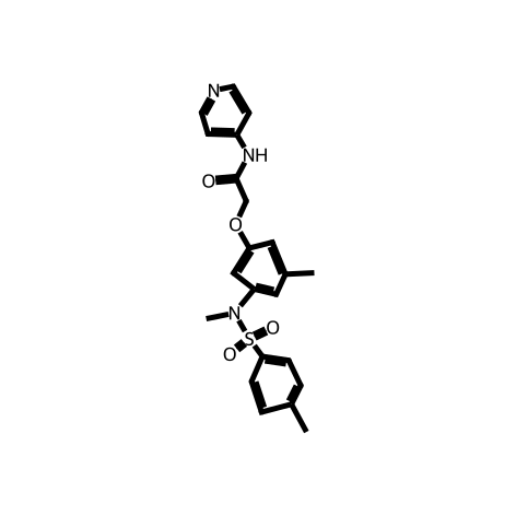 Cc1ccc(S(=O)(=O)N(C)c2cc(C)cc(OCC(=O)Nc3ccncc3)c2)cc1